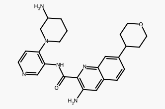 Nc1cc2ccc(C3CCOCC3)cc2nc1C(=O)Nc1cnccc1N1CCCC(N)C1